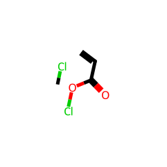 C=CC(=O)OCl.CCl